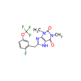 Cn1c(=O)c2[nH]c(Cc3cc(OC(F)(F)F)ccc3F)nc2n(C)c1=O